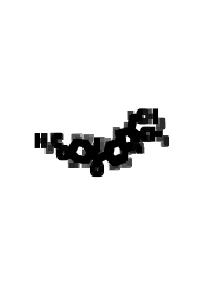 CCc1cc2cc(C(=O)C3(F)CCC(OC)CC3)ccc2nc1C